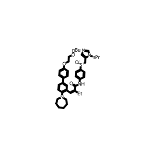 CCCCOCCOc1ccc(-c2ccc(N3CCCCCC3)c(C=C(CC)C(=O)Nc3ccc([S@@+]([O-])Cc4cncn4CCC)cc3)c2)cc1